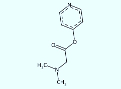 CN(C)CC(=O)Oc1ccncc1